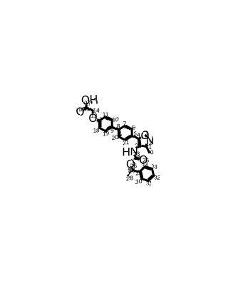 Cc1noc(-c2ccc(-c3ccc(OCC(=O)O)cc3)cc2)c1NC(=O)O[C@H](C)c1ccccc1